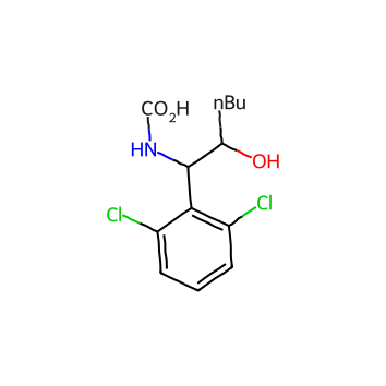 CCCCC(O)C(NC(=O)O)c1c(Cl)cccc1Cl